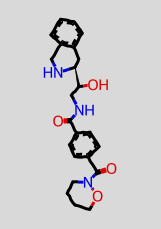 O=C(NCC(O)[C@@H]1Cc2ccccc2CN1)c1ccc(C(=O)N2CCCCO2)cc1